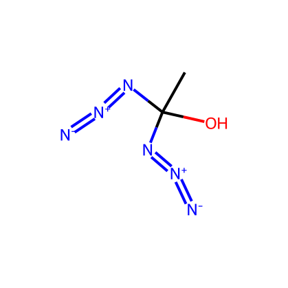 CC(O)(N=[N+]=[N-])N=[N+]=[N-]